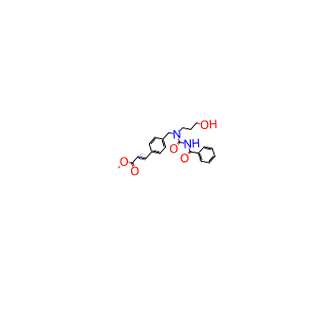 COC(=O)/C=C/c1ccc(CN(CCCO)C(=O)NC(=O)c2ccccc2)cc1